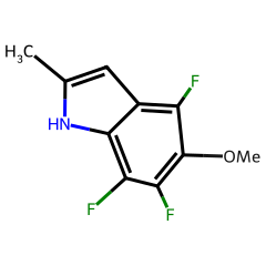 COc1c(F)c(F)c2[nH]c(C)cc2c1F